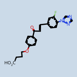 O=C(O)CCCOc1ccc(C(=O)C=Cc2ccc(-n3cncn3)c(F)c2)cc1